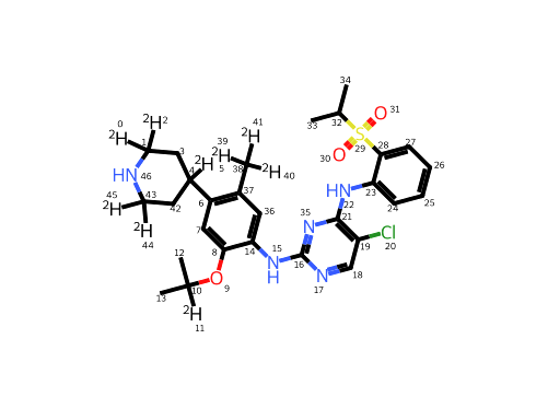 [2H]C1([2H])CC([2H])(c2cc(OC([2H])(C)C)c(Nc3ncc(Cl)c(Nc4ccccc4S(=O)(=O)C(C)C)n3)cc2C([2H])([2H])[2H])CC([2H])([2H])N1